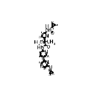 CC(C)(C(=O)Nc1ccc(-c2cncc(OC3CC3)n2)cn1)c1csc(N[S+]([O-])C2CC2)n1